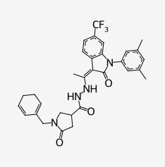 C/C(NNC(=O)C1CC(=O)N(CC2=CCCC=C2)C1)=C1/C(=O)N(c2cc(C)cc(C)c2)c2cc(C(F)(F)F)ccc21